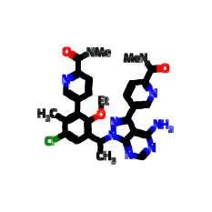 CCOc1c(C(C)n2nc(-c3ccc(C(=O)NC)nc3)c3c(N)ncnc32)cc(Cl)c(C)c1-c1ccc(C(=O)NC)nc1